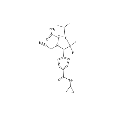 CC(C)C[C@@H](C(N)=O)N(CC#N)C(c1ccc(C(=O)NC2CC2)cc1)C(F)(F)F